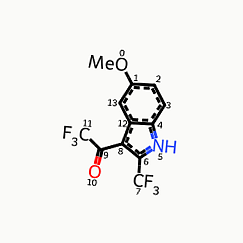 COc1ccc2[nH]c(C(F)(F)F)c(C(=O)C(F)(F)F)c2c1